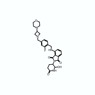 O=C1CCC(N2C(=O)c3cccc(NCc4ccc(CN5CC(N6CCOCC6)C5)cc4F)c3C2=O)C(O)N1